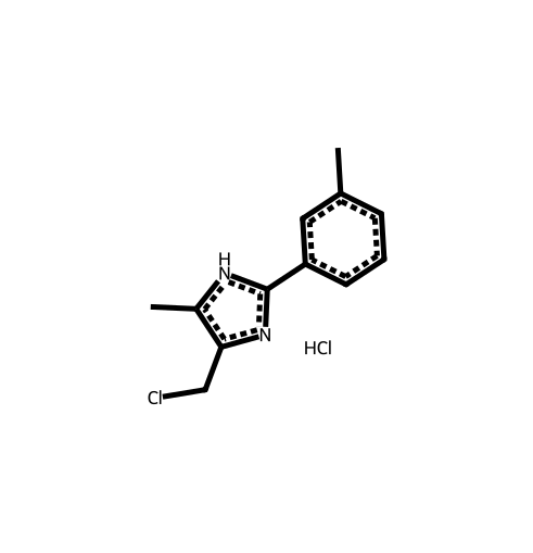 Cc1cccc(-c2nc(CCl)c(C)[nH]2)c1.Cl